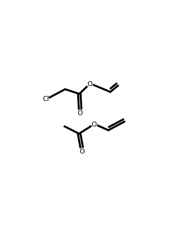 C=COC(=O)CCl.C=COC(C)=O